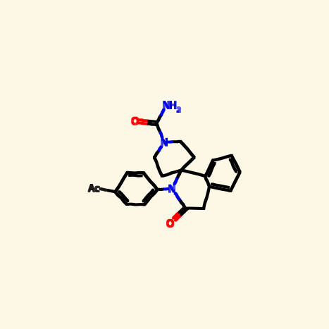 CC(=O)c1ccc(N2C(=O)Cc3ccccc3C23CCN(C(N)=O)CC3)cc1